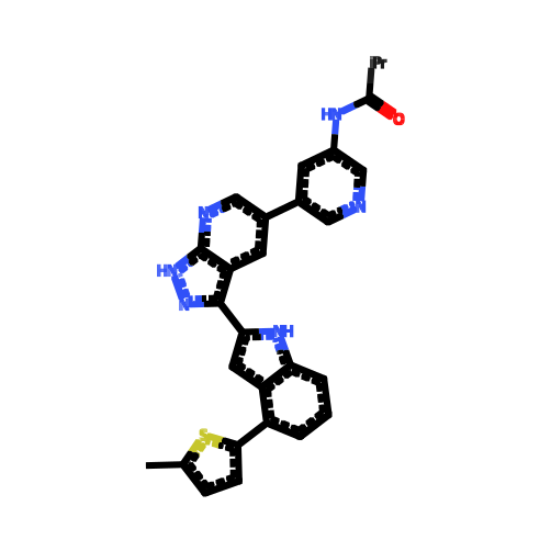 Cc1ccc(-c2cccc3[nH]c(-c4n[nH]c5ncc(-c6cncc(NC(=O)C(C)C)c6)cc45)cc23)s1